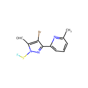 Cc1cccc(-c2nn(SF)c(C=O)c2Br)n1